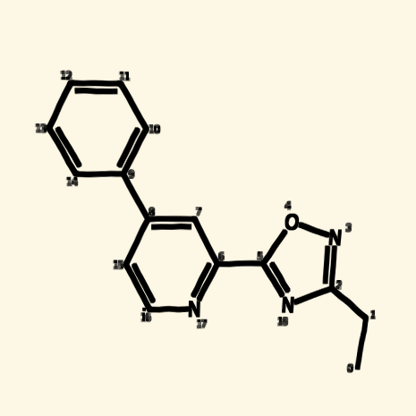 CCc1noc(-c2cc(-c3ccccc3)c[c]n2)n1